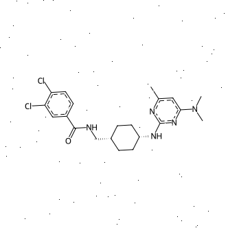 Cc1cc(N(C)C)nc(N[C@H]2CC[C@@H](CNC(=O)c3ccc(Cl)c(Cl)c3)CC2)n1